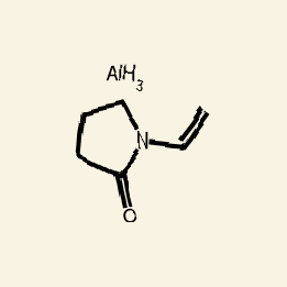 C=CN1CCCC1=O.[AlH3]